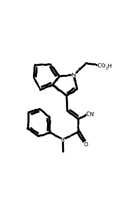 CN(C(=O)/C(C#N)=C/c1cn(CC(=O)O)c2ccccc12)c1ccccc1